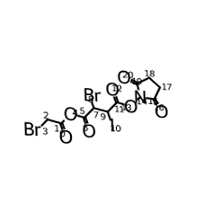 O=C(CBr)OC(=O)C(Br)C(I)C(=O)ON1C(=O)CCC1=O